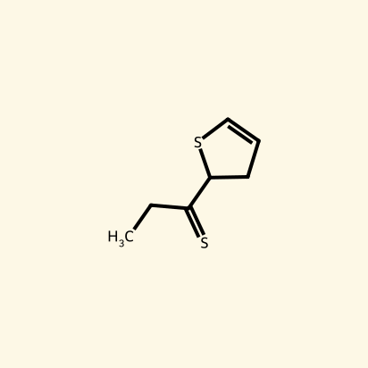 CCC(=S)C1CC=CS1